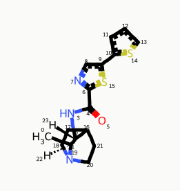 C[C@H]1[C@H](NC(=O)c2ncc(-c3cccs3)s2)C2CCN1CC2